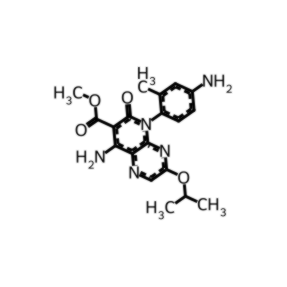 COC(=O)c1c(N)c2ncc(OC(C)C)nc2n(-c2ccc(N)cc2C)c1=O